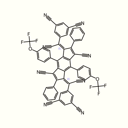 N#CC1=C(c2ccccc2)/C(=C(/C#N)c2cc(C#N)cc(C#N)c2)c2c1c(-c1ccc(OC(F)(F)F)cc1)c1c(c2-c2ccc(OC(F)(F)F)cc2)C(C#N)=C(c2ccccc2)/C1=C(/C#N)c1cc(C#N)cc(C#N)c1